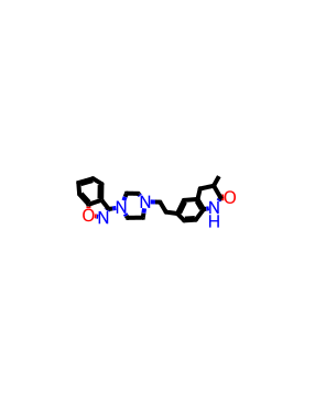 CC1Cc2cc(CCN3CCN(c4noc5ccccc45)CC3)ccc2NC1=O